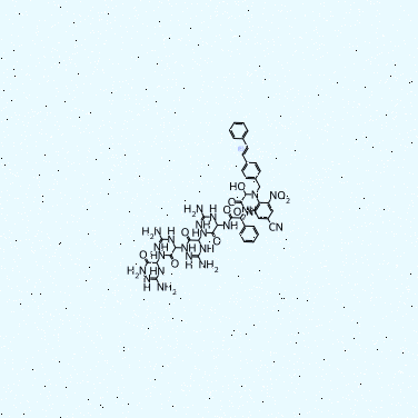 N#Cc1cc([N+](=O)[O-])c(N(Cc2ccc(/C=C/c3ccccc3)cc2)C(O)C(=O)NC(C(=O)NC(NC(=N)N)C(=O)NC(NC(=N)N)C(=O)NC(NC(=N)N)C(=O)NC(NC(=N)N)C(N)=O)c2ccccc2)c([N+](=O)[O-])c1